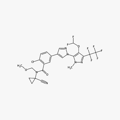 COCN(C(=O)c1cc(-c2cnn(-c3c(OC(F)F)c(C(F)(F)C(F)(F)F)nn3C)c2)ccc1Cl)C1(C#N)CC1